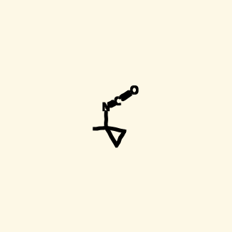 CC1(N=C=O)CC1